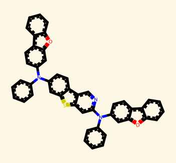 c1ccc(N(c2ccc3c(c2)oc2ccccc23)c2ccc3c(c2)sc2cc(N(c4ccccc4)c4ccc5c(c4)oc4ccccc45)ncc23)cc1